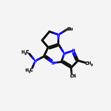 CCC(C)N1CCc2c(N(C)C)nc3c(C#N)c(C)nn3c21